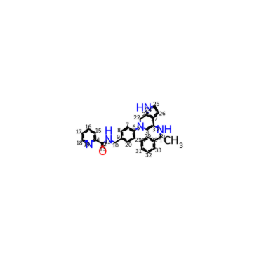 C[C@@H](NC1=CN(c2ccc(CNC(=O)c3ccccn3)cc2)Cc2[nH]ccc21)c1ccccc1